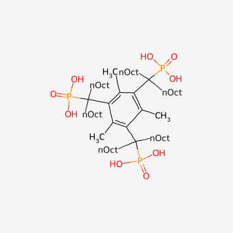 CCCCCCCCC(CCCCCCCC)(c1c(C)c(C(CCCCCCCC)(CCCCCCCC)P(=O)(O)O)c(C)c(C(CCCCCCCC)(CCCCCCCC)P(=O)(O)O)c1C)P(=O)(O)O